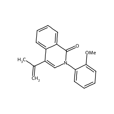 C=C(C)c1cn(-c2ccccc2OC)c(=O)c2ccccc12